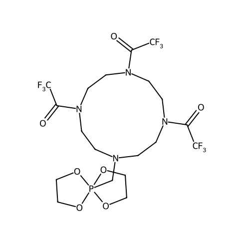 O=C(N1CCN(CP23(OCCO2)OCCO3)CCN(C(=O)C(F)(F)F)CCN(C(=O)C(F)(F)F)CC1)C(F)(F)F